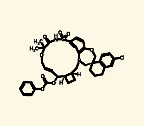 CC1(C)OC/C=C/[C@H](OC(=O)Oc2ccccc2)[C@@H]2CC[C@H]2CN2C[C@@]3(CCCc4cc(Cl)ccc43)COc3ccc(cc32)S(=O)(=O)NC1=O